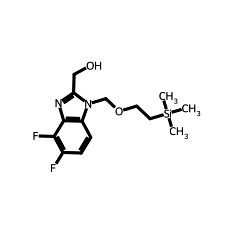 C[Si](C)(C)CCOCn1c(CO)nc2c(F)c(F)ccc21